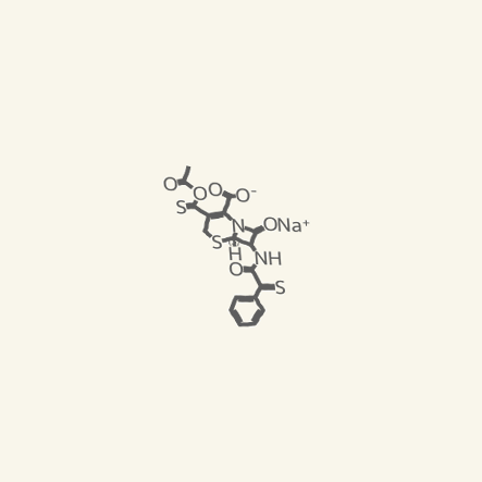 CC(=O)OC(=S)C1=C(C(=O)[O-])N2C(=O)C(NC(=O)C(=S)c3ccccc3)[C@@H]2SC1.[Na+]